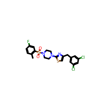 Cc1ccc(F)cc1S(=O)(=O)N1CCN(c2nc(Cc3cc(Cl)cc(Cl)c3)cs2)CC1